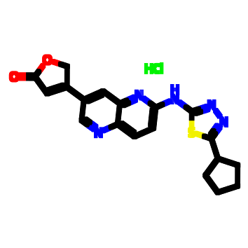 Cl.O=C1C=C(c2cnc3ccc(Nc4nnc(C5CCCC5)s4)nc3c2)CO1